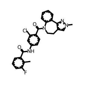 Cc1c(F)cccc1C(=O)Nc1ccc(C(=O)N2CCc3cn(C)nc3-c3ccccc32)c(Cl)c1